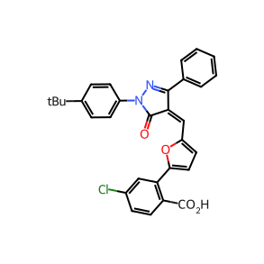 CC(C)(C)c1ccc(N2N=C(c3ccccc3)/C(=C/c3ccc(-c4cc(Cl)ccc4C(=O)O)o3)C2=O)cc1